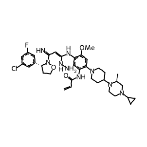 C=CC(=O)Nc1cc(N/C(=C/C(=N)N2OCC[C@@H]2c2cc(F)cc(Cl)c2)NN)c(OC)cc1N1CCC(N2CCN(C3CC3)C[C@@H]2C)CC1